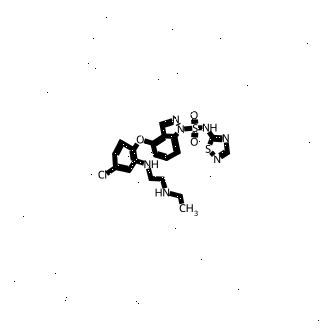 CCNCCNc1cc(Cl)ccc1Oc1cccc2c1cnn2S(=O)(=O)Nc1ncns1